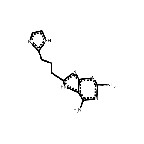 Nc1nc(N)c2[nH]c(CCCc3ncc[nH]3)nc2n1